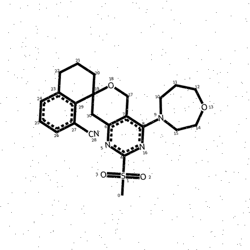 CS(=O)(=O)c1nc2c(c(N3CCCOCC3)n1)COC1(CCCc3cccc(C#N)c31)C2